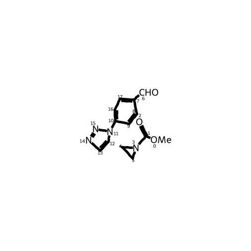 COC(=O)N1CC1.O=Cc1ccc(-n2ccnn2)cc1